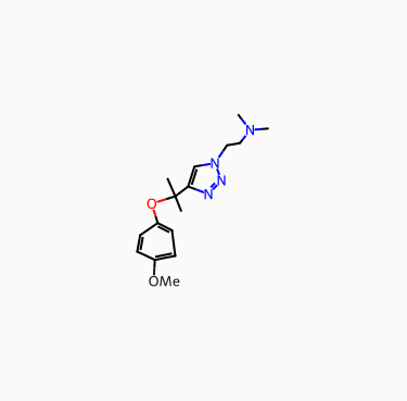 COc1ccc(OC(C)(C)c2cn(CCN(C)C)nn2)cc1